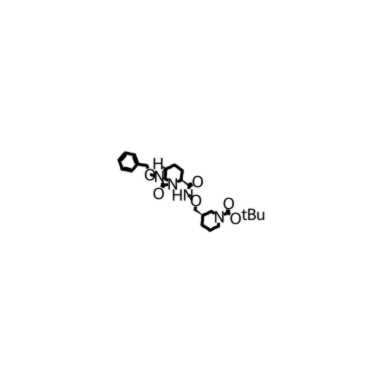 CC(C)(C)OC(=O)N1CCC[C@@H](CONC(=O)[C@@H]2CC[C@@H]3CN2C(=O)N3OCc2ccccc2)C1